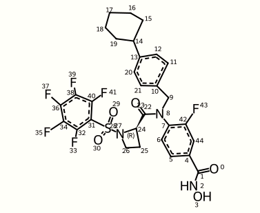 O=C(NO)c1ccc(N(Cc2ccc(C3CCCCC3)cc2)C(=O)[C@H]2CCN2S(=O)(=O)c2c(F)c(F)c(F)c(F)c2F)c(F)c1